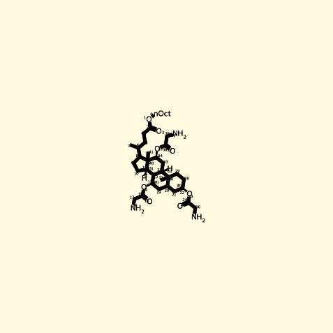 CCCCCCCCOC(=O)CCC(C)C1CC[C@H]2C3[C@H](OC(=O)CN)CC4C[C@H](OC(=O)CN)CCC4(C)[C@H]3C[C@H](OC(=O)CN)C12C